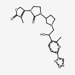 CC1=C(N2CCN(C3CCN(CC(O)c4ccc(-n5cnnn5)nc4C)C3)C2=O)COC1=O